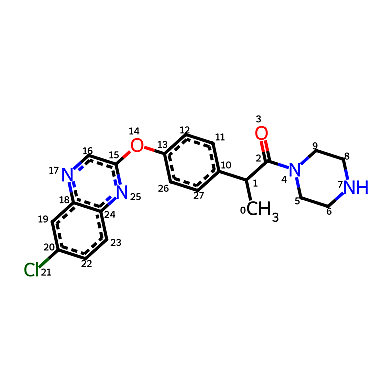 CC(C(=O)N1CCNCC1)c1ccc(Oc2cnc3cc(Cl)ccc3n2)cc1